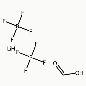 F[B-](F)(F)F.F[B-](F)(F)F.O=CO.[LiH]